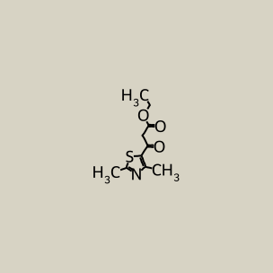 CCOC(=O)CC(=O)c1sc(C)nc1C